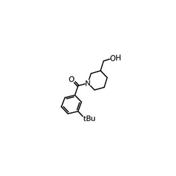 CC(C)(C)c1cccc(C(=O)N2CCCC(CO)C2)c1